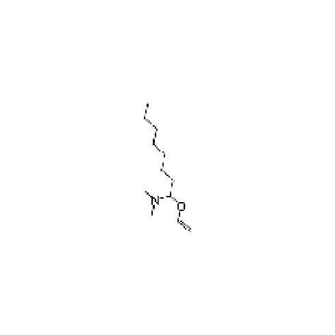 C=COC(CCCCCCC)N(C)C